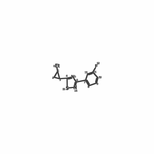 CCC1CC1c1nc(-c2cccc(F)c2)ns1